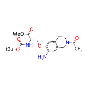 COC(=O)[C@H](COc1cc2c(cc1N)CN(C(=O)C(F)(F)F)CC2)NC(=O)OC(C)(C)C